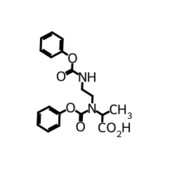 CC(C(=O)O)N(CCNC(=O)Oc1ccccc1)C(=O)Oc1ccccc1